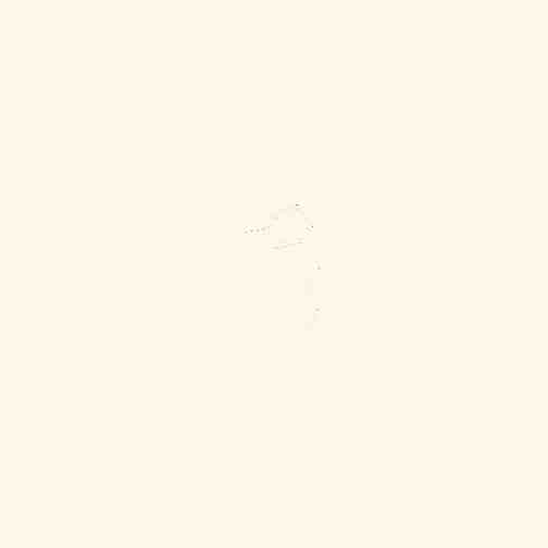 CCCCc1[c]c(O)ccc1